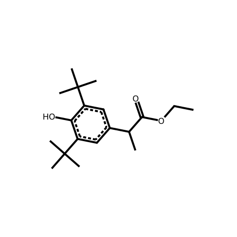 CCOC(=O)C(C)c1cc(C(C)(C)C)c(O)c(C(C)(C)C)c1